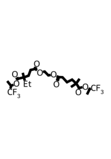 CCC(C)(CCC(=O)OCCOC(=O)CCCC(C)(C)C(=O)OC(C)C(F)(F)F)C(=O)OC(C)C(F)(F)F